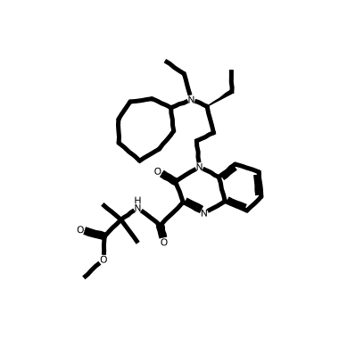 CC[C@@H](CCn1c(=O)c(C(=O)NC(C)(C)C(=O)OC)nc2ccccc21)N(CC)C1CCCCCCC1